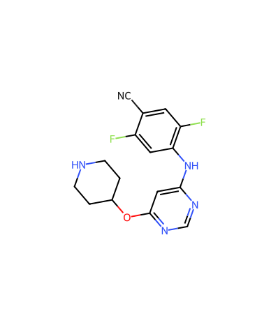 N#Cc1cc(F)c(Nc2cc(OC3CCNCC3)ncn2)cc1F